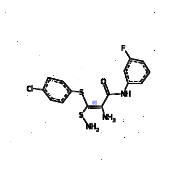 NS/C(Sc1ccc(Cl)cc1)=C(\N)C(=O)Nc1cccc(F)c1